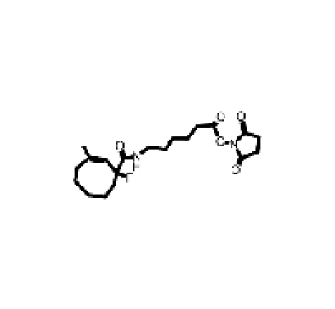 C/C1=C/C(F)(C(=O)NCCCCCC(=O)ON2C(=O)CCC2=O)CCCCC1